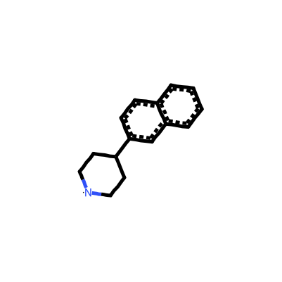 c1ccc2cc(C3CC[N]CC3)ccc2c1